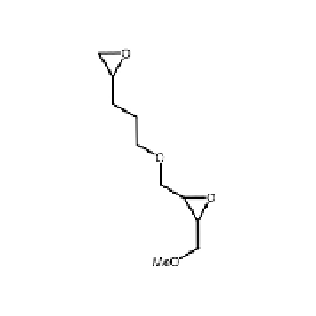 COCC1OC1COCCCC1CO1